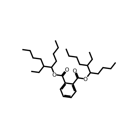 CCCCC(CC)C(CCCC)OC(=O)c1ccccc1C(=O)OC(CCCC)C(CC)CCCC